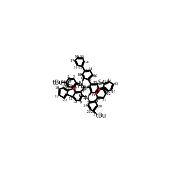 CC(C)(C)c1ccc(N2B3c4c(ccc5c4C(C)(C)c4ccccc4-5)N(c4ccc(C(C)(C)C)cc4-c4ccccc4)c4cc5c(sc6ccccc65)c(c43)-c3ccc(-c4ccccc4)cc32)cc1